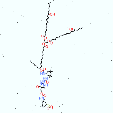 CCCCCCC(O)C/C=C/CCCCCCCC(=O)OCC(COC(=O)CCCCCCC/C=C/CC(O)CCCCCC)OC(=O)CCCCCCC/C=C/CC(CCCCCC)OC(=O)NC1CC(C)(C)CC(C)(CNC(=O)Nc2nc(=O)c(CCOC(=O)NCC3(C)CC(SC(=O)OC)CC(C)(C)C3)c(C)[nH]2)C1